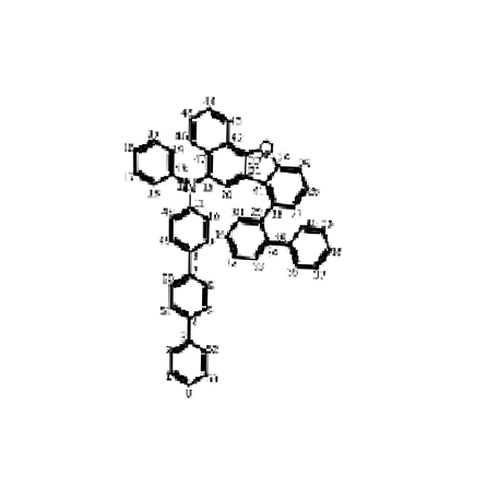 c1ccc(-c2ccc(-c3ccc(N(c4ccccc4)c4cc5c(oc6cccc(-c7ccccc7-c7ccccc7)c65)c5ccccc45)cc3)cc2)cc1